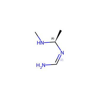 CN[C@@H](C)/N=C\N